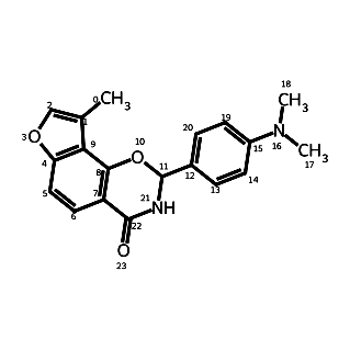 Cc1coc2ccc3c(c12)OC(c1ccc(N(C)C)cc1)NC3=O